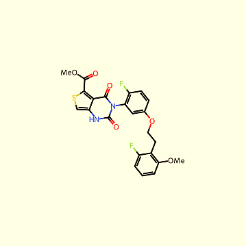 COC(=O)c1scc2[nH]c(=O)n(-c3cc(OCCc4c(F)cccc4OC)ccc3F)c(=O)c12